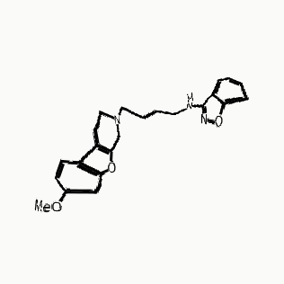 COc1ccc2c3c(oc2c1)CN(CCCCNc1noc2ccccc12)CC3